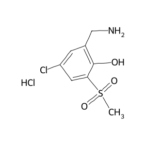 CS(=O)(=O)c1cc(Cl)cc(CN)c1O.Cl